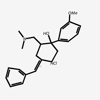 COc1cccc(C2(O)CC/C(=C/c3ccccc3)CC2CN(C)C)c1.Cl